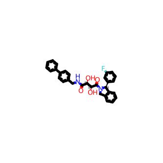 O=C(NCc1ccc(-c2ccccc2)cc1)[C@H](O)[C@@H](O)C(=O)N1Cc2ccccc2[C@@H]1c1cccc(F)c1